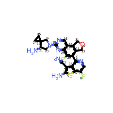 N#Cc1c(N)sc2c(F)cnc(-c3c4c(c5cnc(N6C[C@H](N)C7(CC7)C6)nc5c3F)COC4)c12